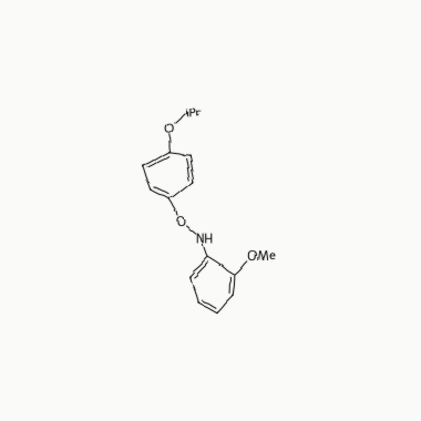 COc1ccccc1NOc1ccc(OC(C)C)cc1